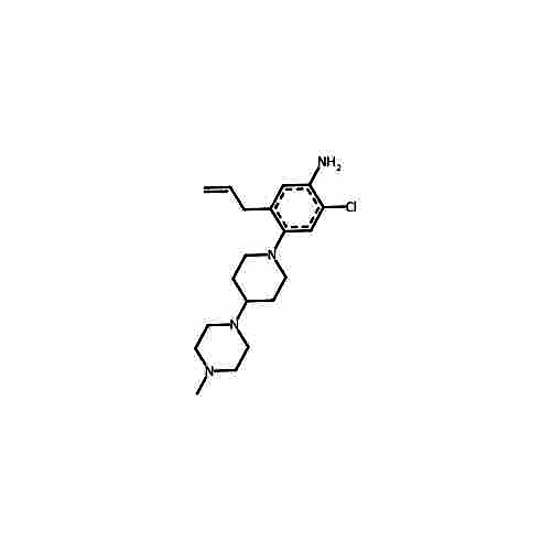 C=CCc1cc(N)c(Cl)cc1N1CCC(N2CCN(C)CC2)CC1